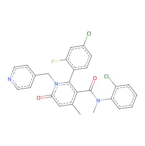 Cc1cc(=O)n(Cc2ccncc2)c(-c2ccc(Cl)cc2F)c1C(=O)N(C)c1ccccc1Cl